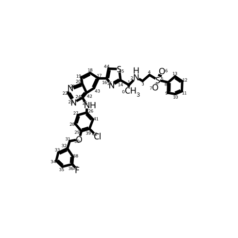 CC(NCCS(=O)(=O)c1ccccc1)c1nc(-c2ccc3ncnc(Nc4ccc(OCc5cccc(F)c5)c(Cl)c4)c3c2)cs1